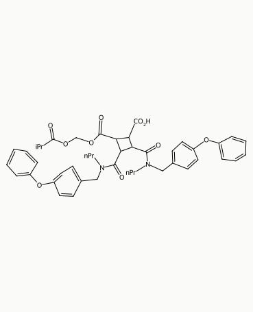 CCCN(Cc1ccc(Oc2ccccc2)cc1)C(=O)C1C(C(=O)O)C(C(=O)OCOC(=O)C(C)C)C1C(=O)N(CCC)Cc1ccc(Oc2ccccc2)cc1